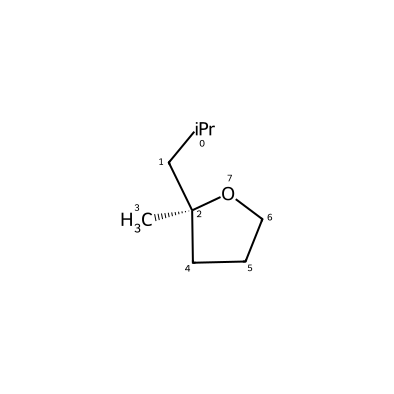 CC(C)C[C@]1(C)CCCO1